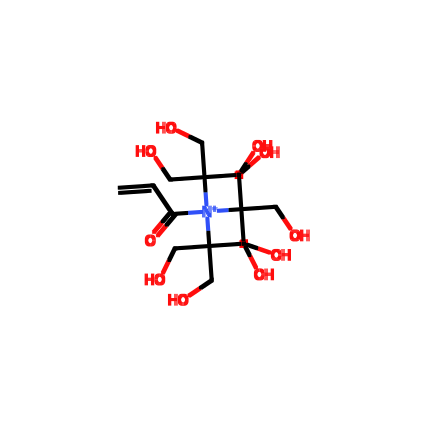 C=CC(=O)[N+](C(CO)(CO)CO)(C(CO)(CO)CO)C(CO)(CO)CO